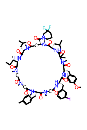 CC[C@H](C)[C@@H]1NC(=O)[C@H](CC(C)C)N(C)C(=O)C[C@@H](C(=O)N2CCCC(F)(F)C2)N(C)C(=O)[C@H](CC(C)C)NC(=O)C(C)(C)N(C)C(=O)[C@H](Cc2ccc(OC)cc2)NC(=O)[C@H](Cc2cccc(I)c2)NC(=O)CN(C)C(=O)[C@H](Cc2ccc(C)cc2)N(C)C(=O)CN(C)C(=O)CN(C)C1=O